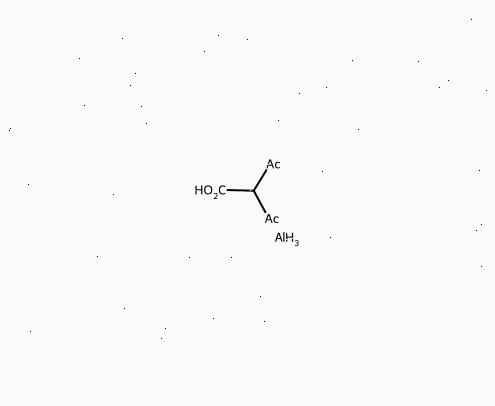 CC(=O)C(C(C)=O)C(=O)O.[AlH3]